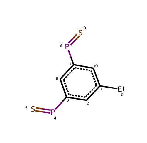 CCc1cc(P=S)cc(P=S)c1